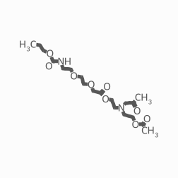 CCCOC(=O)NCCOCCOCC(=O)OCCN(CCOC(C)=O)CC(C)=O